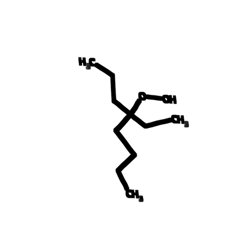 CCCCC(CC)(CCC)OO